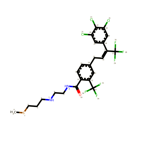 CSCCCNCCNC(=O)c1ccc(C/C=C(\c2cc(Cl)c(Cl)c(Cl)c2)C(F)(F)F)cc1C(F)(F)F